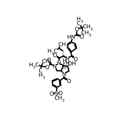 CC(C)C[C@H](NC(=O)c1ccc(NC(=O)OC(C)(C)C)cc1)C(=O)N1[C@@H]2C(O)CN(C(=O)c3cccc(S(C)(=O)=O)c3)C2CN1C(=O)OC(C)(C)C